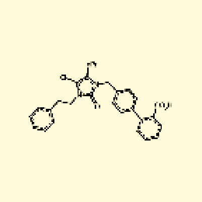 CCCc1c(Cl)n(CCc2ccccc2)c(=O)n1Cc1ccc(-c2ccccc2C(=O)O)cc1